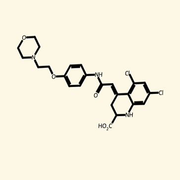 O=C(C=C1CC(C(=O)O)Nc2cc(Cl)cc(Cl)c21)Nc1ccc(OCCN2CCOCC2)cc1